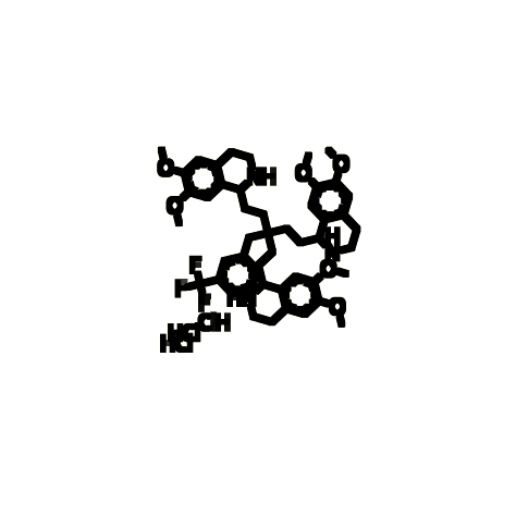 COc1cc2c(cc1OC)C(CCC(CCC1NCCc3cc(OC)c(OC)cc31)(CCC1NCCc3cc(OC)c(OC)cc31)Cc1cccc(C(F)(F)F)c1)NCC2.Cl.Cl.Cl